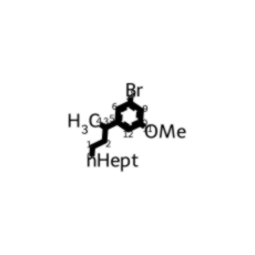 CCCCCCCCCC(C)c1cc(Br)cc(OC)c1